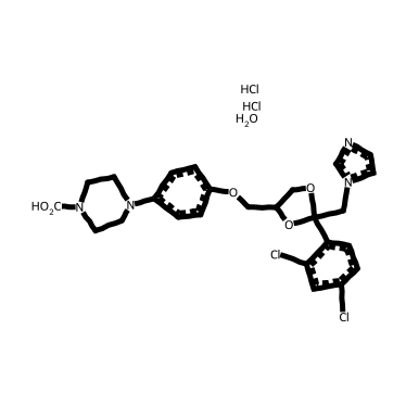 Cl.Cl.O.O=C(O)N1CCN(c2ccc(OCC3COC(Cn4ccnc4)(c4ccc(Cl)cc4Cl)O3)cc2)CC1